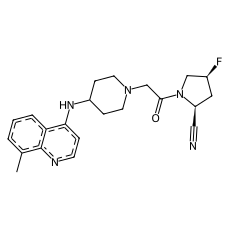 Cc1cccc2c(NC3CCN(CC(=O)N4C[C@@H](F)C[C@H]4C#N)CC3)ccnc12